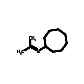 CC(C)=NC1CCCCCCC1